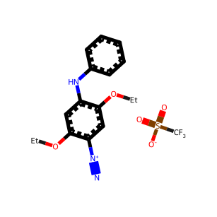 CCOc1cc(Nc2ccccc2)c(OCC)cc1[N+]#N.O=S(=O)([O-])C(F)(F)F